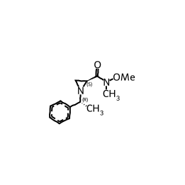 CON(C)C(=O)[C@@H]1CN1[C@H](C)c1ccccc1